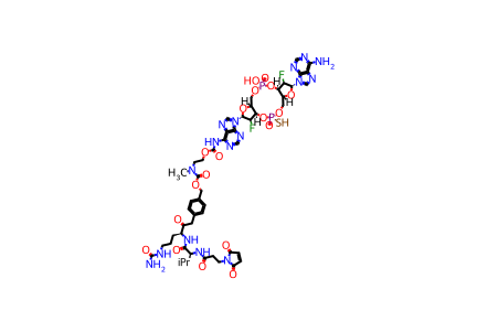 CC(C)[C@H](NC(=O)CCN1C(=O)C=CC1=O)C(=O)N[C@@H](CCCNC(N)=O)C(=O)Cc1ccc(COC(=O)N(C)CCOC(=O)Nc2ncnc3c2ncn3[C@@H]2O[C@@H]3COP(=O)(O)O[C@H]4[C@@H](F)[C@H](n5cnc6c(N)ncnc65)O[C@@H]4CO[P@@](=O)(S)O[C@H]3[C@H]2F)cc1